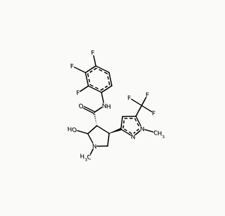 CN1C[C@H](c2cc(C(F)(F)F)n(C)n2)[C@@H](C(=O)Nc2ccc(F)c(F)c2F)C1O